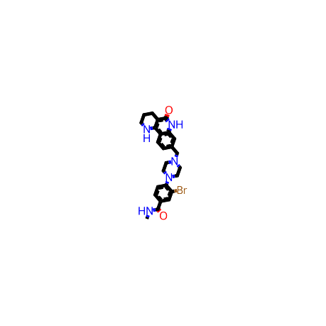 CNC(=O)c1ccc(N2CCN(Cc3ccc4c5c(c(=O)[nH]c4c3)CCCN5)CC2)c(Br)c1